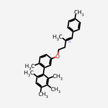 C/C(=C\c1ccc(C)cc1)CCOc1ccc(C)c(-c2c(C)cc(C)c(C)c2C)c1